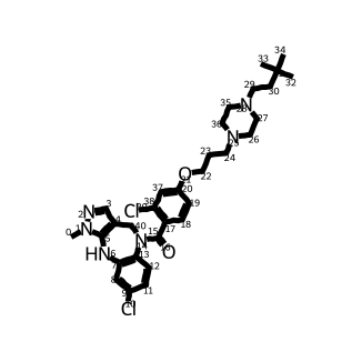 Cn1ncc2c1Nc1cc(Cl)ccc1N(C(=O)c1ccc(OCCCN3CCN(CCC(C)(C)C)CC3)cc1Cl)C2